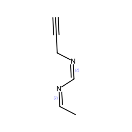 C#CC/N=C\N=C/C